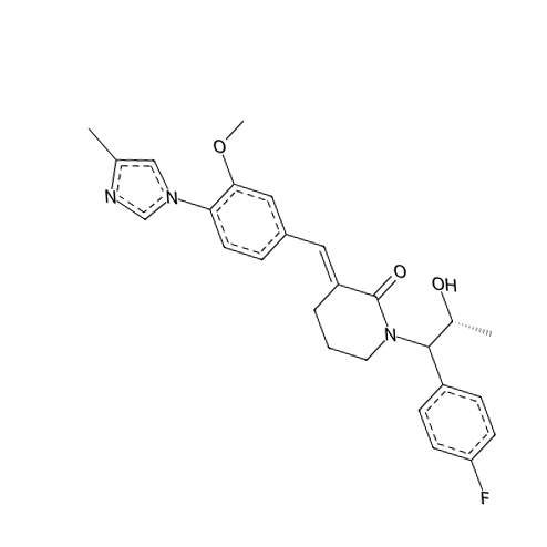 COc1cc(/C=C2\CCCN(C(c3ccc(F)cc3)[C@@H](C)O)C2=O)ccc1-n1cnc(C)c1